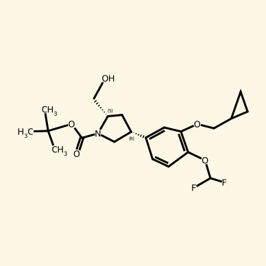 CC(C)(C)OC(=O)N1C[C@@H](c2ccc(OC(F)F)c(OCC3CC3)c2)C[C@H]1CO